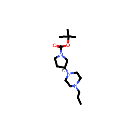 CCCN1CCN([C@H]2CCN(C(=O)OC(C)(C)C)C2)CC1